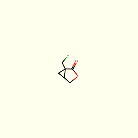 O=C1OCC2CC12CCl